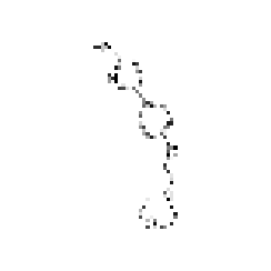 Sc1ccc(-c2ccc(OCCN3CCOCC3)cc2)cn1